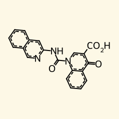 O=C(O)c1cn(C(=O)Nc2cc3ccccc3cn2)c2ccccc2c1=O